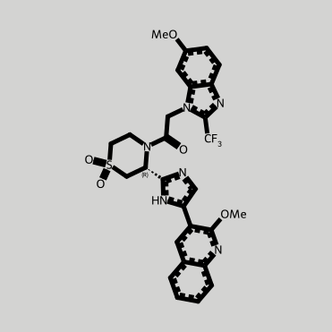 COc1ccc2nc(C(F)(F)F)n(CC(=O)N3CCS(=O)(=O)C[C@H]3c3ncc(-c4cc5ccccc5nc4OC)[nH]3)c2c1